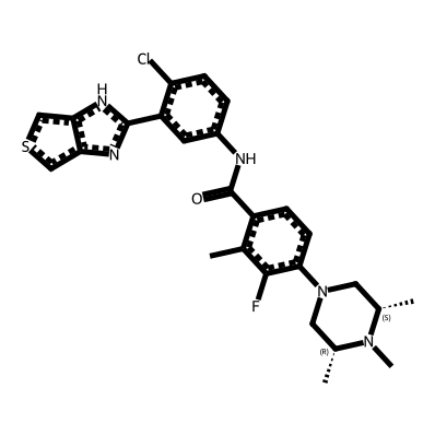 Cc1c(C(=O)Nc2ccc(Cl)c(-c3nc4cscc4[nH]3)c2)ccc(N2C[C@@H](C)N(C)[C@@H](C)C2)c1F